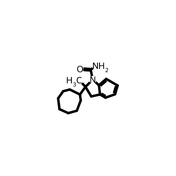 CC1(C2CCCCCCC2)Cc2ccccc2N1C(N)=O